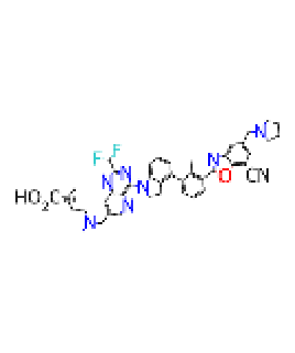 Cc1c(-c2nc3cc(CN4CCCC4)cc(C#N)c3o2)cccc1-c1cccc2c1CCN2c1nc(C(F)F)nc2cc(CN(C)CC[C@H](C)C(=O)O)cnc12